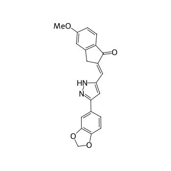 COc1ccc2c(c1)CC(=Cc1cc(-c3ccc4c(c3)OCO4)n[nH]1)C2=O